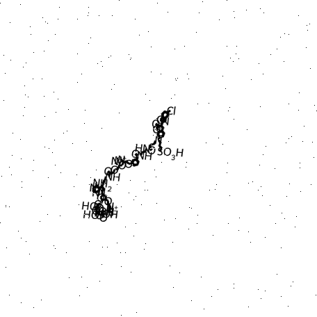 [N-]=[N+]=NCOC1CC(n2cc(C#CCNC(=O)COCCOC(COc3cccc(C(=O)NCCNC(=O)CCCN(CCCS(=O)(=O)O)c4ccc5cc(-c6nc7cc(Cl)ccc7o6)c(=O)oc5c4)c3)N=[N+]=[N-])c3c(N)ncnc32)OC1COP(=O)(O)OP(=O)(O)OP(=O)(O)O